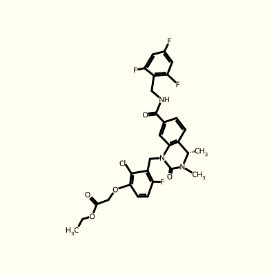 CCOC(=O)COc1ccc(F)c(CN2C(=O)N(C)[C@@H](C)c3ccc(C(=O)NCc4c(F)cc(F)cc4F)cc32)c1Cl